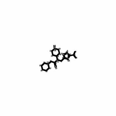 CC(C)c1noc(CN(C(=O)CN2CCCCC2)C2CCNCC2)n1